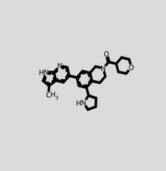 Cc1c[nH]c2ncc(-c3cc4c(c(C5CCCN5)c3)CCN(C(=O)C3CCOCC3)C4)cc12